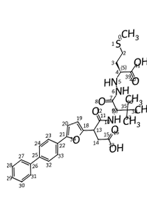 CSCC[C@H](NNC(=O)[C@@H](NC(=O)C(CC(=O)O)c1ccc(-c2ccc(-c3ccccc3)cc2)o1)C(C)(C)C)C(=O)O